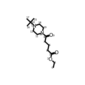 CCOC(=O)CCCC(=O)N1CCN(C(C)(C)C)CC1